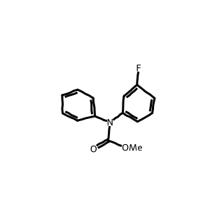 [CH2]OC(=O)N(c1ccccc1)c1cccc(F)c1